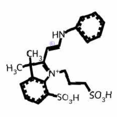 CC1(C)C(/C=C/Nc2ccccc2)=[N+](CCCS(=O)(=O)O)c2c1cccc2S(=O)(=O)O